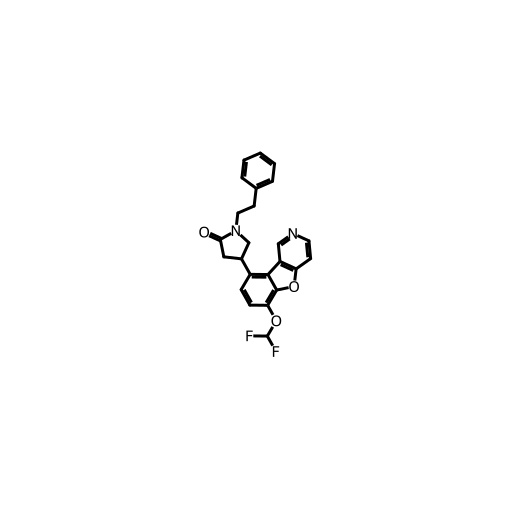 O=C1CC(c2ccc(OC(F)F)c3oc4ccncc4c23)CN1CCc1ccccc1